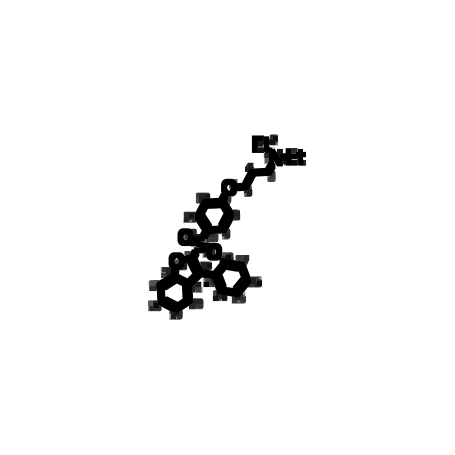 CCN(CC)CCCOc1ccc(S(=O)(=O)c2oc3ccccc3c2-c2ccccc2)cc1